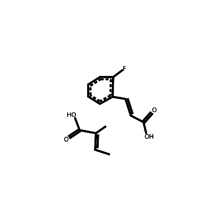 C/C=C(\C)C(=O)O.O=C(O)/C=C/c1ccccc1F